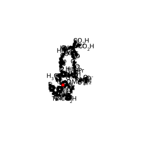 COc1ccccc1-c1nccc(COc2ccccc2C[C@@H](Oc2ncnc3sc(-c4ccc(F)cc4)c(-c4ccc(OCCN5CC[N+](C)(Cc6ccc(NC(=O)[C@H](CCCNC(N)=O)NC(=O)[C@@H](NC(=O)CCOCCN7C(=O)C=CC7=O)C(C)C)cc6COCc6cn(CCOC(=O)NS(=O)(=O)NCCC(=O)N(CCC(=O)O)CCC(=O)O)nn6)CC5)c(Cl)c4C)c23)C(=O)O)n1.O=C([O-])C(F)(F)F